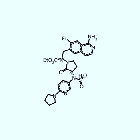 CCOC(=O)[C@@H](Cc1cc2ccnc(N)c2cc1CC)N1CC[C@H](N(c2ccc(N3CCCC3)nc2)[SH](=O)=O)C1=O